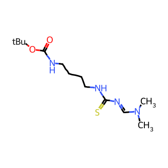 CN(C)/C=N/C(=S)NCCCCNC(=O)OC(C)(C)C